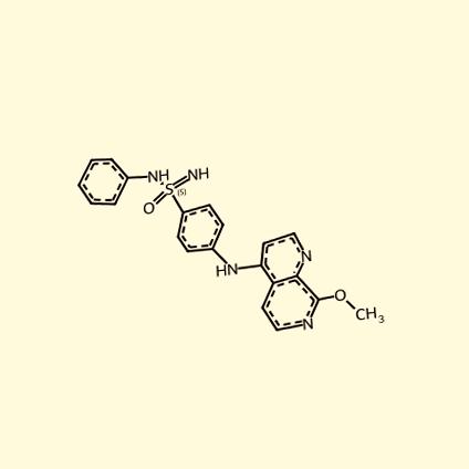 COc1nccc2c(Nc3ccc([S@](=N)(=O)Nc4ccccc4)cc3)ccnc12